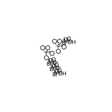 [O]=[Mn](=[O])([O-])[Br].[O]=[Mn](=[O])([O-])[Br].[O]=[Mn](=[O])([OH])[Br].[O]=[Mn](=[O])([OH])[Br].c1ccc(C[P+](c2ccccc2)(c2ccccc2)c2ccccc2)cc1.c1ccc(C[P+](c2ccccc2)(c2ccccc2)c2ccccc2)cc1